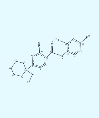 CCC1(c2ccc(C(=O)Oc3ccc(F)cc3F)c(F)c2)CCCCC1